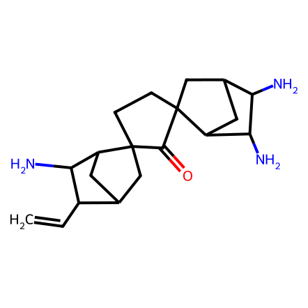 C=CC1C2CC(C1N)C1(CCC3(CC4CC3C(N)C4N)C1=O)C2